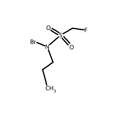 CCCN(Br)S(=O)(=O)CF